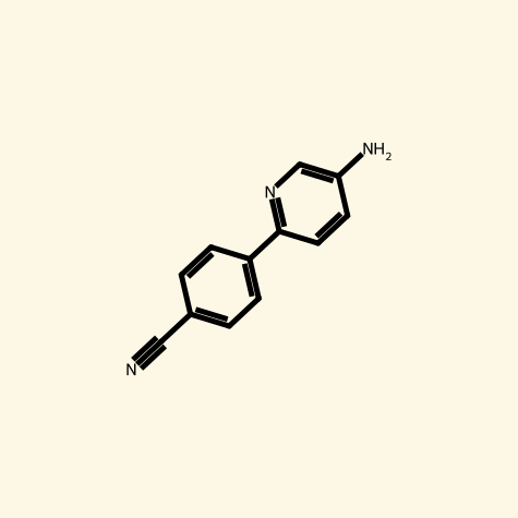 N#Cc1ccc(-c2ccc(N)cn2)cc1